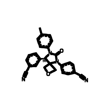 Cc1ccc(N2C(=O)N(c3ccc(C#N)cc3)C3(COC3)[C@@H]2c2cccc(C#N)c2)cc1